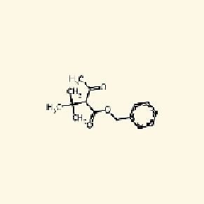 CC(=O)C(C(=O)OCc1ccccc1)C(C)(C)C